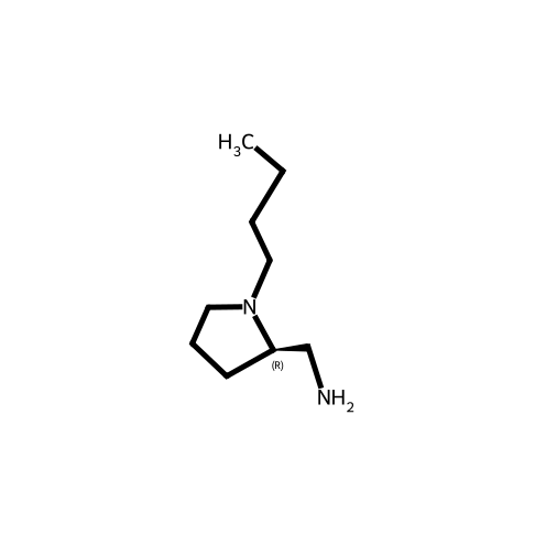 CCCCN1CCC[C@@H]1CN